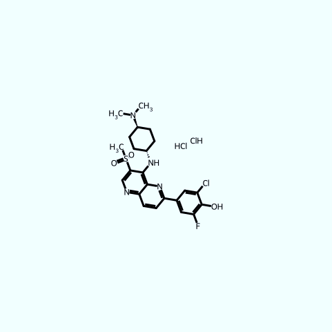 CN(C)[C@H]1CC[C@H](Nc2c(S(C)(=O)=O)cnc3ccc(-c4cc(F)c(O)c(Cl)c4)nc23)CC1.Cl.Cl